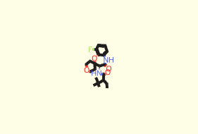 CC[C](C(=O)N[C@H]1C(=O)Nc2cccc(F)c2OC12CCOCC2)C(C)(C)C